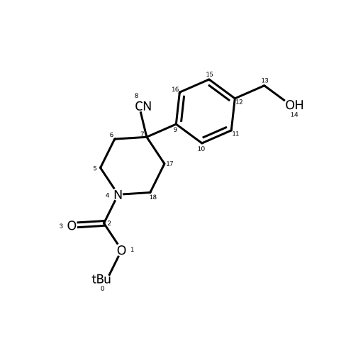 CC(C)(C)OC(=O)N1CCC(C#N)(c2ccc(CO)cc2)CC1